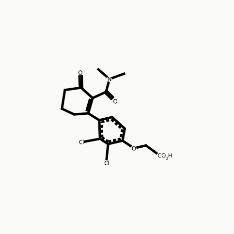 CN(C)C(=O)C1=C(c2ccc(OCC(=O)O)c(Cl)c2Cl)CCCC1=O